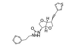 O=C(NCCc1ccccc1)N[C@H]1CO[C@H]2[C@@H]1OC[C@@H]2C#Cc1ccsc1